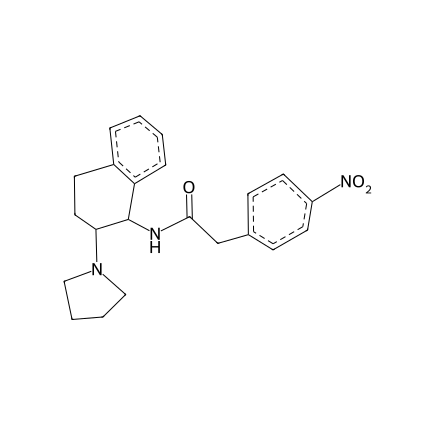 O=C(Cc1ccc([N+](=O)[O-])cc1)NC1c2ccccc2CCC1N1CCCC1